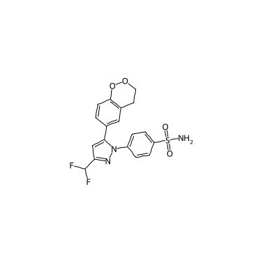 NS(=O)(=O)c1ccc(-n2nc(C(F)F)cc2-c2ccc3c(c2)CCOO3)cc1